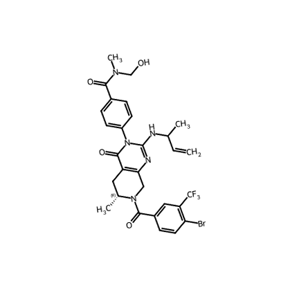 C=CC(C)Nc1nc2c(c(=O)n1-c1ccc(C(=O)N(C)CO)cc1)C[C@@H](C)N(C(=O)c1ccc(Br)c(C(F)(F)F)c1)C2